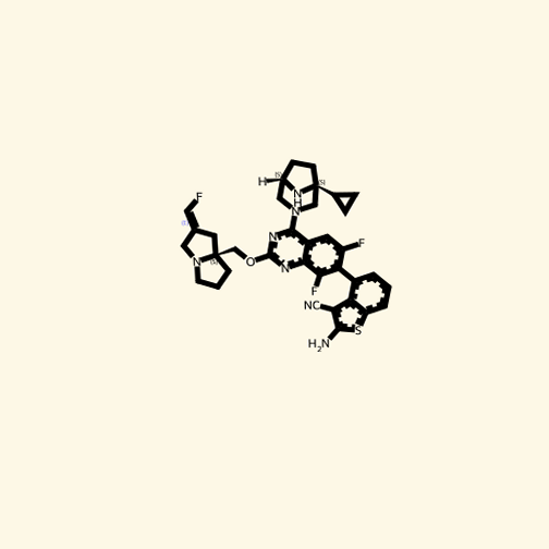 N#Cc1c(N)sc2cccc(-c3c(F)cc4c(N5C[C@@H]6CC[C@](C7CC7)(C5)N6)nc(OC[C@@]56CCCN5C/C(=C/F)C6)nc4c3F)c12